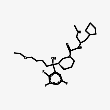 CCOCCCC[C@@](O)(c1cc(F)cc(F)c1F)[C@@H]1CCCN(C(=O)NC(CNC)CC2CCCC2)C1